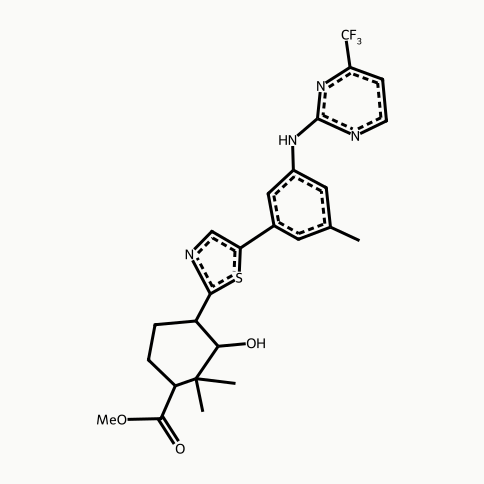 COC(=O)C1CCC(c2ncc(-c3cc(C)cc(Nc4nccc(C(F)(F)F)n4)c3)s2)C(O)C1(C)C